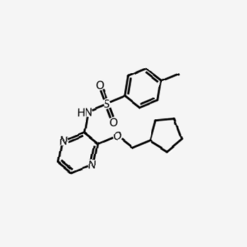 Cc1ccc(S(=O)(=O)Nc2nccnc2OCC2CCCC2)cc1